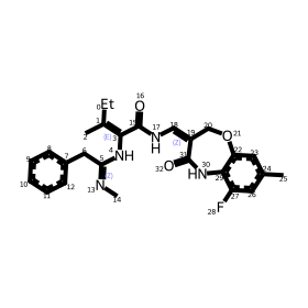 CC/C(C)=C(/N/C(Cc1ccccc1)=N\C)C(=O)N/C=C1/COc2cc(C)cc(F)c2NC1=O